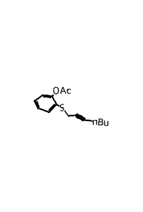 CCCCC#CCSc1ccccc1OC(C)=O